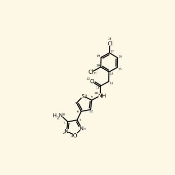 Nc1nonc1-c1csc(NC(=O)Cc2ccc(Cl)cc2Cl)c1